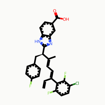 C=C/C(=C\C=C(/C)[C@@H](Cc1ccc(F)cc1)c1nc2cc(C(=O)O)ccc2[nH]1)c1c(F)ccc(Cl)c1F